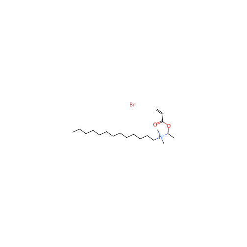 C=CC(=O)OC(C)[N+](C)(C)CCCCCCCCCCCCC.[Br-]